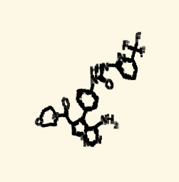 Nc1ncnn2cc(C(=O)N3CCOCC3)c(-c3ccc(NC(=O)Nc4cccc(C(F)(F)F)n4)cc3)c12